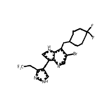 FC(F)(F)Cc1n[nH]cc1-c1c[nH]c2c(CC3CCC(F)(F)CC3)c(Br)cnc12